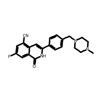 CN1CCN(Cc2ccc(-c3cc4c(C#N)cc(F)cc4c(=O)[nH]3)cc2)CC1